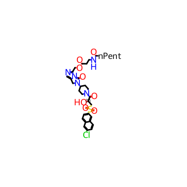 CCCCCC(=O)NCCC(=O)OCc1ncc2n1C(=O)N(C1CCN(C(=O)[C@H](O)CS(=O)(=O)c3ccc4cc(Cl)ccc4c3)CC1)C2